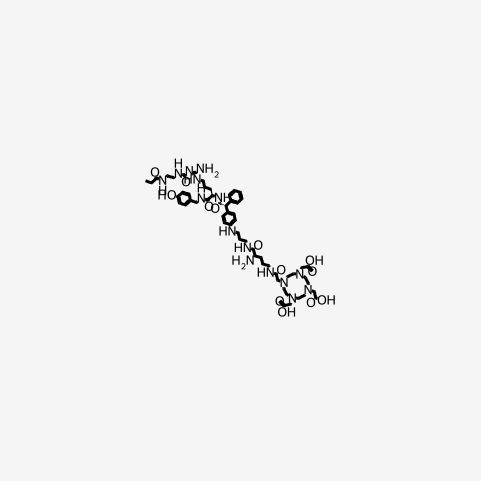 CCC(=O)NCCNC(=O)/N=C(/N)NCCC[C@@H](NC(=O)[C@H](c1ccccc1)c1ccc(NCCCNC(=O)[C@H](N)CCCNC(=O)CN2CCN(CC(=O)O)CCN(CC(=O)O)CCN(CC(=O)O)CC2)cc1)C(=O)NCc1ccc(O)cc1